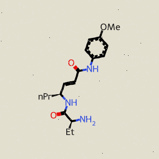 CCC[C@@H](C=CC(=O)Nc1ccc(OC)cc1)NC(=O)[C@@H](N)CC